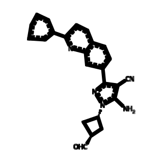 N#Cc1c(-c2ccc3ccc(-c4ccccc4)nc3c2)nn([C@H]2C[C@H](C=O)C2)c1N